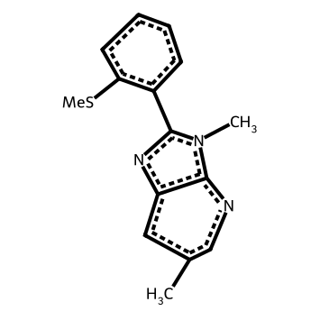 CSc1ccccc1-c1nc2cc(C)cnc2n1C